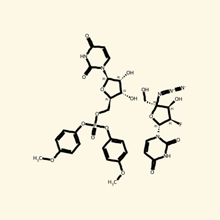 COc1ccc(OP(=O)(OC[C@H]2O[C@@H](n3ccc(=O)[nH]c3=O)[C@H](O)[C@@H]2O)Oc2ccc(OC)cc2)cc1.[N-]=[N+]=N[C@]1(CO)O[C@@H](n2ccc(=O)[nH]c2=O)[C@H](F)[C@@H]1O